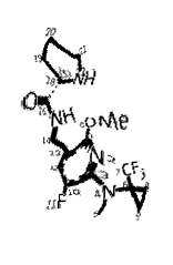 COc1nc(N(C)C2(C(F)(F)F)CC2)c(F)cc1CNC(=O)[C@@H]1CCCN1